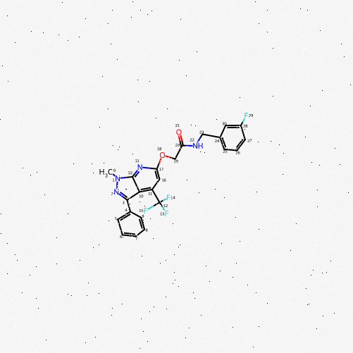 Cn1nc(-c2ccccc2)c2c(C(F)(F)F)cc(OCC(=O)NCc3cccc(F)c3)nc21